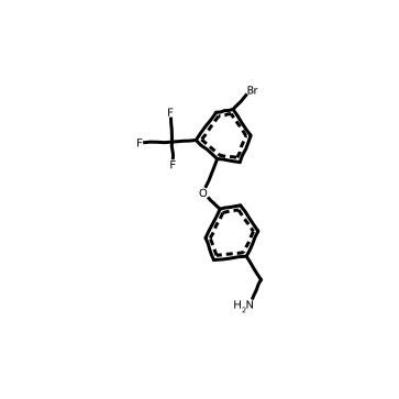 NCc1ccc(Oc2ccc(Br)cc2C(F)(F)F)cc1